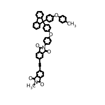 Cc1ccc(Oc2ccc(C3(c4ccc(Oc5ccc(N6C(=O)c7ccc(C#Cc8ccc9c(c8)C(=O)N(C)C9=O)cc7C6=O)cc5)cc4)c4ccccc4-c4ccccc43)cc2)cc1